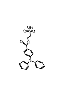 O=C(OCCS(=O)(=O)O)c1ccc(N(c2ccccc2)c2ccccc2)cc1